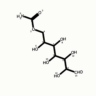 NC(=O)OCC(O)C(O)C(O)C(O)C(O)C=O